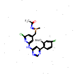 COc1cc(F)ccc1-c1cc(Nc2cc(CS(C)=NC(=O)C(F)(F)F)cc(Cl)n2)ncn1